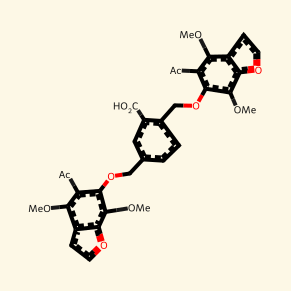 COc1c(C(C)=O)c(OCc2ccc(COc3c(C(C)=O)c(OC)c4ccoc4c3OC)c(C(=O)O)c2)c(OC)c2occc12